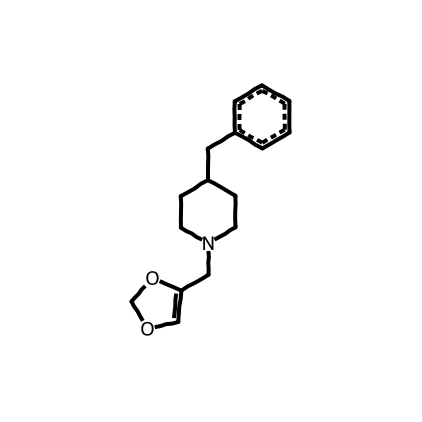 C1=C(CN2CCC(Cc3ccccc3)CC2)OCO1